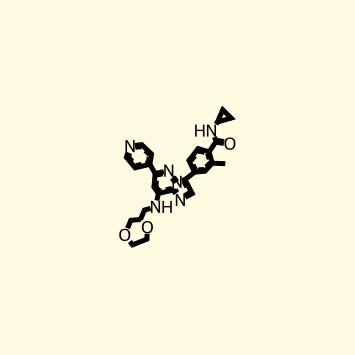 Cc1cc(-c2cnc3c(NCC4COCCO4)cc(-c4ccncc4)nn23)ccc1C(=O)NC1CC1